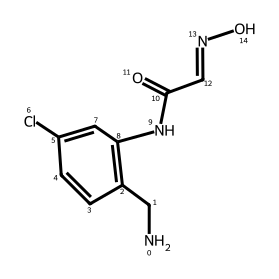 NCc1ccc(Cl)cc1NC(=O)C=NO